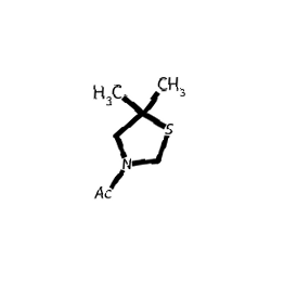 CC(=O)N1CSC(C)(C)C1